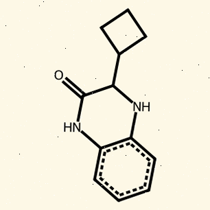 O=C1Nc2ccccc2NC1C1CCC1